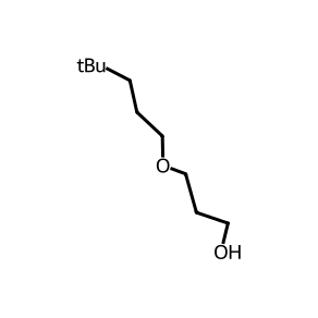 CC(C)(C)CCCOCCCO